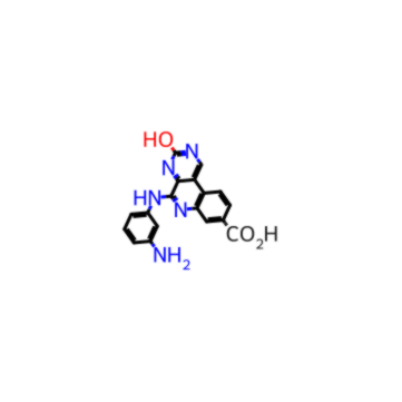 Nc1cccc(Nc2nc3cc(C(=O)O)ccc3c3cnc(O)nc23)c1